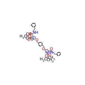 CC(C)(C)OC(=O)N1C[C@@H](OCc2ccc(CO[C@H]3C[C@@H](C(=O)NCCc4ccccc4)N(C(=O)OC(C)(C)C)C3)cc2)C[C@H]1C(=O)NCCc1ccccc1